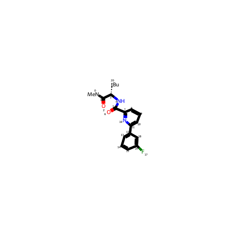 CNC(=O)[C@@H](NC(=O)c1cccc(-c2cccc(F)c2)n1)C(C)(C)C